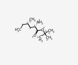 CC[C@H](C)C[C@H](N)C(=O)OC(C)(C)C